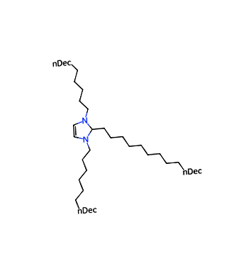 CCCCCCCCCCCCCCCCCCCC1N(CCCCCCCCCCCCCCC)C=CN1CCCCCCCCCCCCCCCC